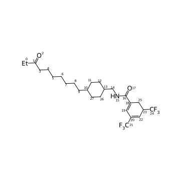 CCC(=O)CCCCCCCC1CCC(CNC(=O)C2=CC(C(F)(F)F)=CC(C(F)(F)F)C2)CC1